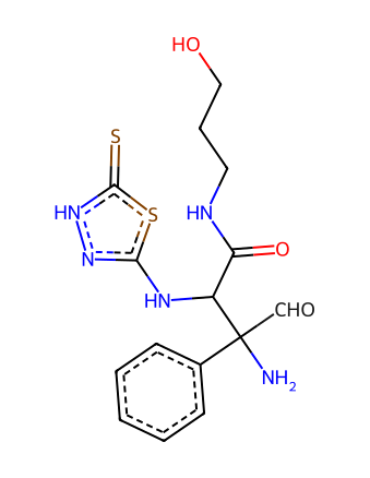 NC(C=O)(c1ccccc1)C(Nc1n[nH]c(=S)s1)C(=O)NCCCO